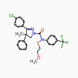 COCCSN(C(=O)N1CC(C)(c2ccccc2)C(c2ccc(Cl)cc2)=N1)c1ccc(C(F)(F)F)cc1